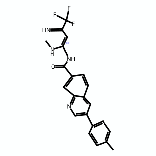 CN/C(=C\C(=N)C(F)(F)F)NC(=O)c1ccc2cc(-c3ccc(C)cc3)cnc2c1